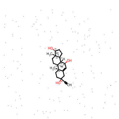 C#C[C@]1(O)CC[C@@]2(C)C(=C[C@H](O)[C@H]3[C@@H]4CC[C@H](O)[C@@]4(C)CC[C@@H]32)C1